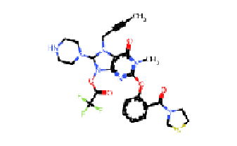 CC#CCN1c2c(nc(Oc3ccccc3C(=O)N3CCSC3)n(C)c2=O)N(OC(=O)C(F)(F)F)C1N1CCNCC1